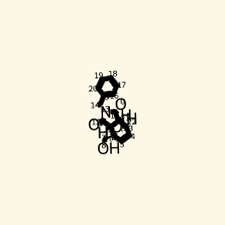 O=C1[C@@H]2[C@@H]3C=C[C@@](CO)(O3)[C@@H]2C(=O)N1Cc1ccccc1